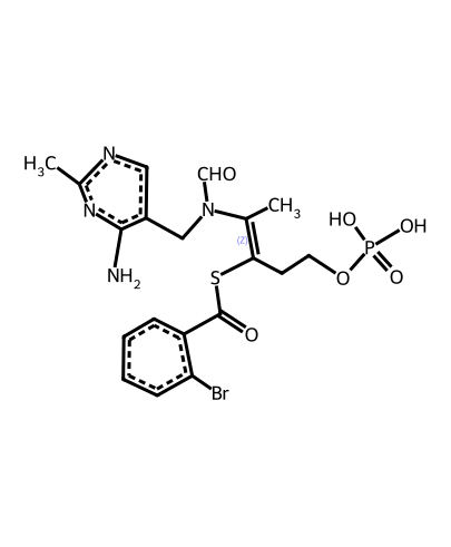 C/C(=C(\CCOP(=O)(O)O)SC(=O)c1ccccc1Br)N(C=O)Cc1cnc(C)nc1N